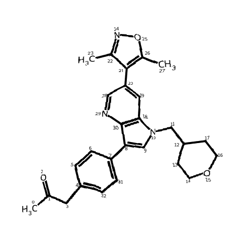 CC(=O)Cc1ccc(-c2cn(CC3CCOCC3)c3cc(-c4c(C)noc4C)cnc23)cc1